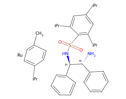 CC(C)c1cc(C(C)C)c(S(=O)(=O)N[C@H](c2ccccc2)[C@H](N)c2ccccc2)c(C(C)C)c1.Cc1ccc(C(C)C)cc1.[Ru]